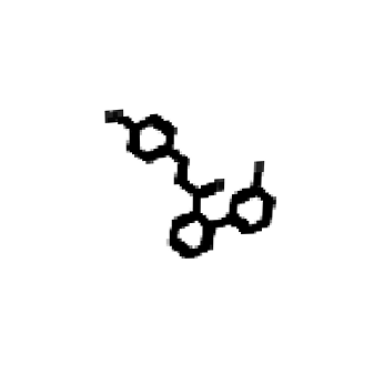 N#Cc1ccc(C=CC(=O)c2ccccc2-c2cccc(F)c2)cc1